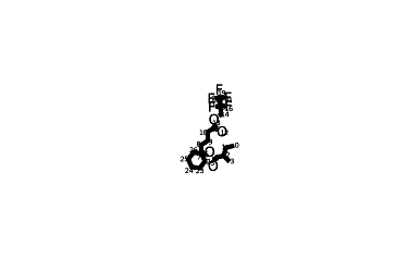 CCC(C)C(=O)OC1(CCCC(=O)OCC(F)(F)C(F)(F)F)CCCCC1